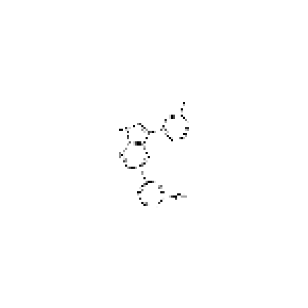 Cc1cccc(-c2c[nH]c3ncc(-c4cccc(O)c4)cc23)c1